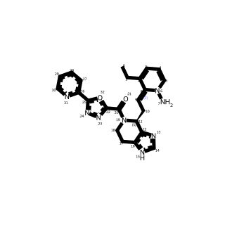 CCC1=CC=CN(N)/C1=C\C[C@H]1c2nc[nH]c2CCN1C(=O)c1nnc(-c2ccccn2)o1